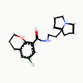 O=C(NCCC12CCCN1CCC2)c1cc(Cl)cc2c1OCCC2